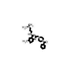 CC1C=c2c(NCCCN(C)C)nc(CN3CCN(C(=O)c4ccccc4)CC3)nc2=CC1